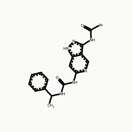 CC(C)C(=O)Nc1n[nH]c2cc(NC(=O)NC(C)c3ccccc3)ncc12